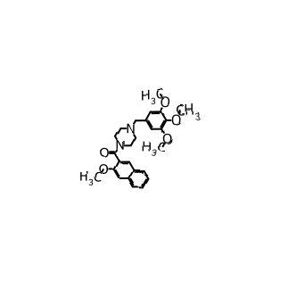 COc1cc2ccccc2cc1C(=O)N1CCN(Cc2cc(OC)c(OC)c(OC)c2)CC1